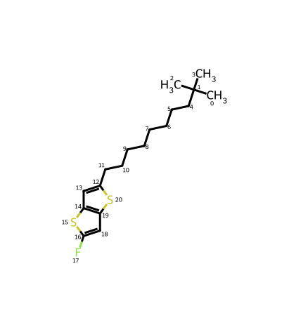 CC(C)(C)CCCCCCCCc1cc2sc(F)cc2s1